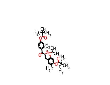 COC(=Cc1cc(C)c(OC(=O)C(C)(C)C)cc1OC(C)C)C(=O)c1ccc(OC(=O)C(C)(C)C)cc1